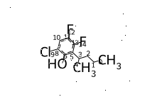 CCCC(C)c1c(O)c(Cl)cc(F)c1F